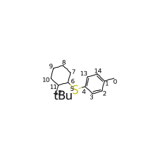 Cc1ccc(SC2CCCCC2C(C)(C)C)cc1